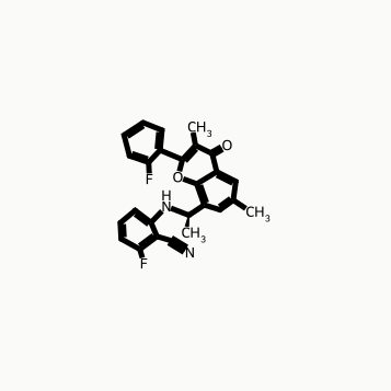 Cc1cc([C@@H](C)Nc2cccc(F)c2C#N)c2oc(-c3ccccc3F)c(C)c(=O)c2c1